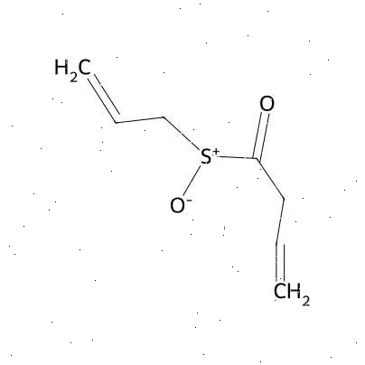 C=CCC(=O)[S+]([O-])CC=C